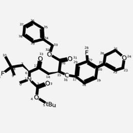 CN(C(=O)OC(C)(C)C)[C@@H](CC(C)(C)F)C(=O)C[C@H](Cc1ccc(C2=CCOCC2)c(F)c1)C(=O)OCc1ccccc1